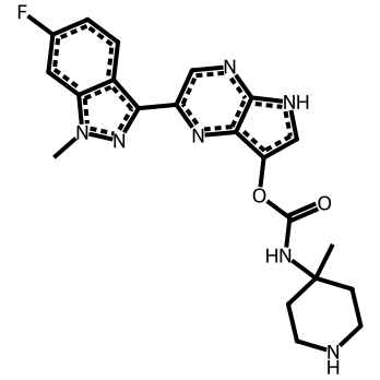 Cn1nc(-c2cnc3[nH]cc(OC(=O)NC4(C)CCNCC4)c3n2)c2ccc(F)cc21